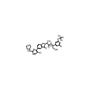 [2H]C([2H])([2H])Oc1cc(F)cc(C(CO)NC(=O)C(C)N2Cc3ccc(-c4nc(NC5CCOCC5)ncc4Cl)cc3C2=O)c1